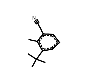 Cc1c(C#N)cccc1C(C)(C)C